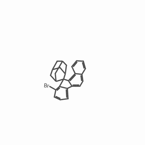 Brc1cccc2c1C1(c3c-2ccc2ccccc32)C2CC3CC(C2)CC1C3